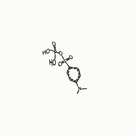 CN(C)c1ccc(S(=O)(=O)OP(=O)(O)O)cc1